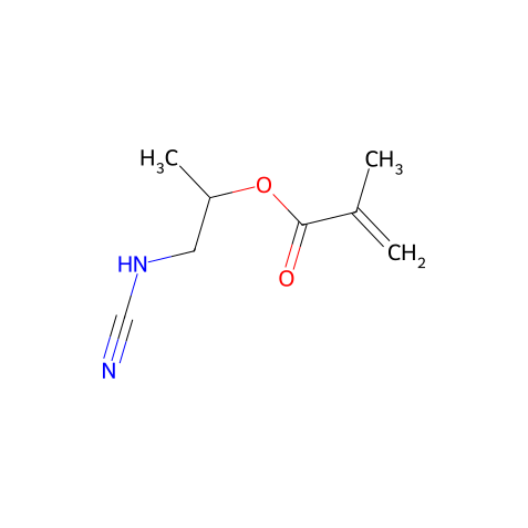 C=C(C)C(=O)OC(C)CNC#N